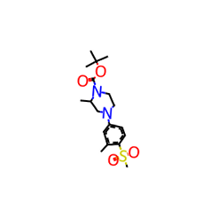 Cc1cc(N2CCN(C(=O)OC(C)(C)C)C(C)C2)ccc1S(C)(=O)=O